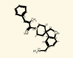 C/C(=C\c1ccccc1)C(=O)N1CCC2(CC1)COc1ccc(CN)cc12